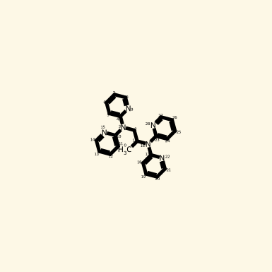 CC(CN(c1ccccn1)c1ccccn1)N(c1ccccn1)c1ccccn1